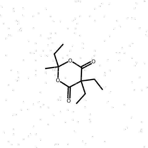 CCC1(C)OC(=O)C(CC)(CC)C(=O)O1